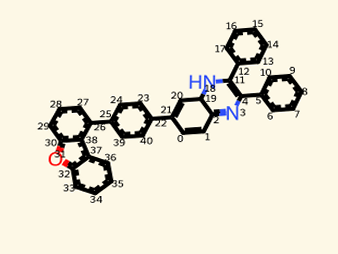 C1=CC2=NC(c3ccccc3)=C(c3ccccc3)NC2C=C1c1ccc(-c2cccc3oc4ccccc4c23)cc1